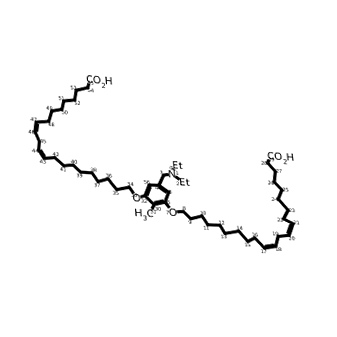 CCN(CC)Cc1cc(OCCCCCCCCC/C=C\C/C=C\CCCCCCCC(=O)O)c(C)c(OCCCCCCCCC/C=C\C/C=C\CCCCCCCC(=O)O)c1